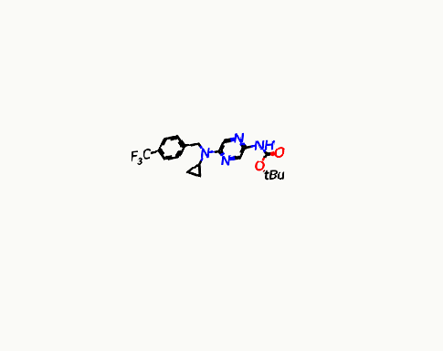 CC(C)(C)OC(=O)Nc1cnc(N(Cc2ccc(C(F)(F)F)cc2)C2CC2)cn1